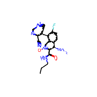 CCCNC(=O)c1c(N)c2ccc(F)c(-c3cncnc3C#N)c2c[n+]1[O-]